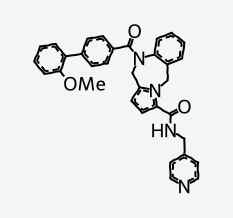 COc1ccccc1-c1ccc(C(=O)N2Cc3ccc(C(=O)NCc4ccncc4)n3Cc3ccccc32)cc1